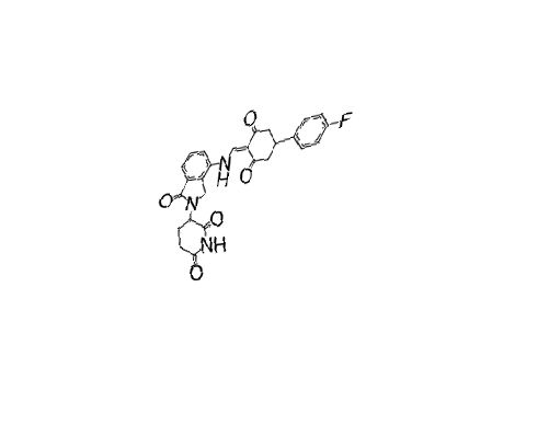 O=C1CCC(N2Cc3c(NC=C4C(=O)CC(c5ccc(F)cc5)CC4=O)cccc3C2=O)C(=O)N1